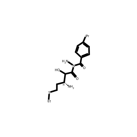 CCSCC[C@@H](N)C(O)C(=O)N(N)C(=O)c1ccc(C(C)C)cc1